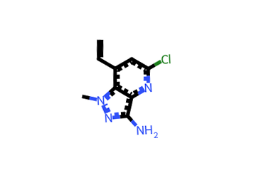 C=Cc1cc(Cl)nc2c(N)nn(C)c12